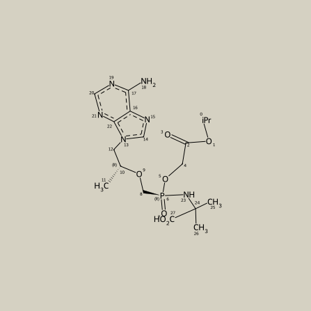 CC(C)OC(=O)CO[P@](=O)(CO[C@H](C)Cn1cnc2c(N)ncnc21)NC(C)(C)C(=O)O